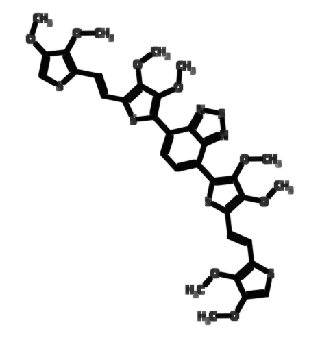 COc1csc(/C=C/c2sc(-c3ccc(-c4sc(/C=C/c5scc(OC)c5OC)c(OC)c4OC)c4nsnc34)c(OC)c2OC)c1OC